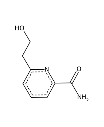 NC(=O)c1cccc(CCO)n1